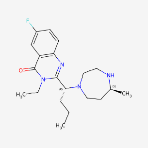 CCC[C@H](c1nc2ccc(F)cc2c(=O)n1CC)N1CCN[C@@H](C)CC1